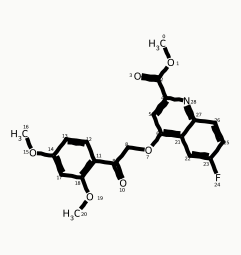 COC(=O)c1cc(OCC(=O)c2ccc(OC)cc2OC)c2cc(F)ccc2n1